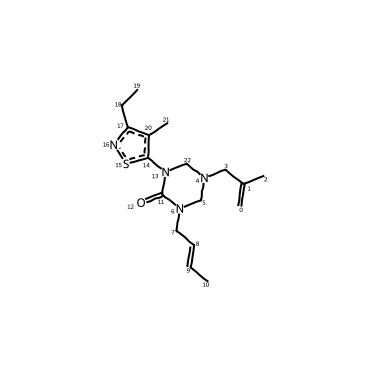 C=C(C)CN1CN(CC=CC)C(=O)N(c2snc(CC)c2C)C1